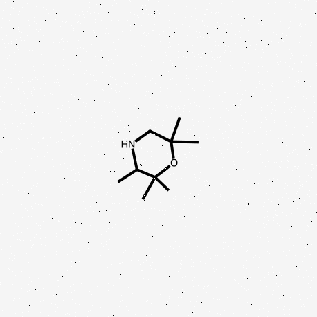 CC1NCC(C)(C)OC1(C)C